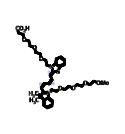 COCCOCCOCCOCC[N+]1=C(\C=C/C=C\C=C2/Sc3ccccc3N2CCOCCOCCOCCC(=O)O)C(C)(C)c2ccccc21